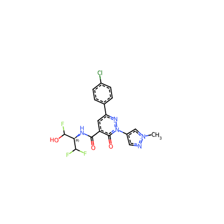 Cn1cc(-n2nc(-c3ccc(Cl)cc3)cc(C(=O)N[C@H](C(O)F)C(F)F)c2=O)cn1